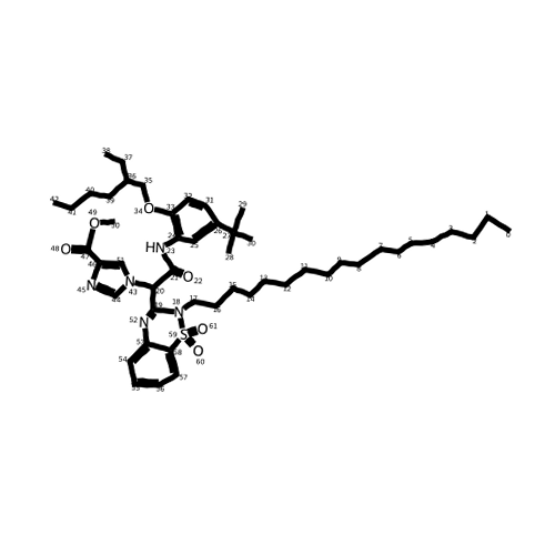 CCCCCCCCCCCCCCCCCCN1C(C(C(=O)Nc2cc(C(C)(C)C)ccc2OCC(CC)CCCC)n2cnc(C(=O)OC)c2)=Nc2ccccc2S1(=O)=O